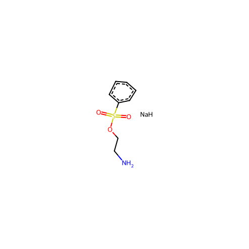 NCCOS(=O)(=O)c1ccccc1.[NaH]